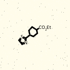 CCOC(=O)C1CCC(c2nccs2)CC1